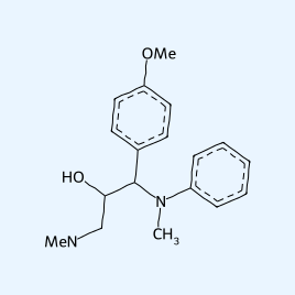 CNCC(O)C(c1ccc(OC)cc1)N(C)c1ccccc1